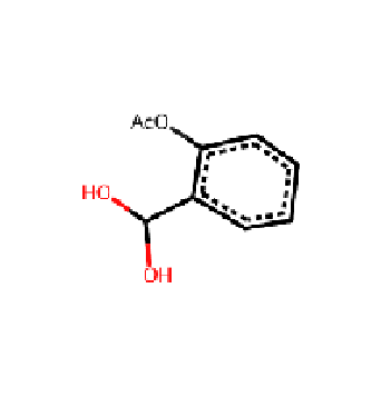 CC(=O)Oc1ccccc1C(O)O